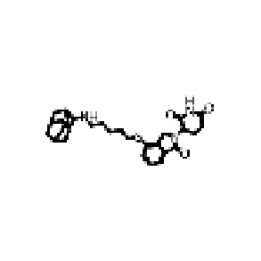 O=C1CCC(N2Cc3c(SCCCCCNC4C5CC6CC(C5)CC4C6)cccc3C2=O)C(=O)N1